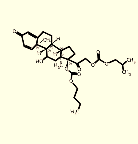 CCCCOC(=O)O[C@]1(C(=O)COC(=O)OCC(C)C)CC[C@H]2[C@@H]3CCC4=CC(=O)C=C[C@]4(C)[C@H]3C(O)C[C@@]21C